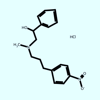 CN(CCCc1ccc([N+](=O)[O-])cc1)CC(O)c1ccccc1.Cl